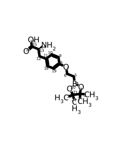 CC1(C)OB(CCOc2ccc(C[C@H](N)C(=O)O)cc2)OC1(C)C